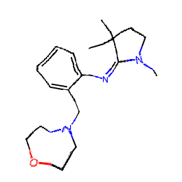 CN1CCC(C)(C)C1=Nc1ccccc1CN1CCOCC1